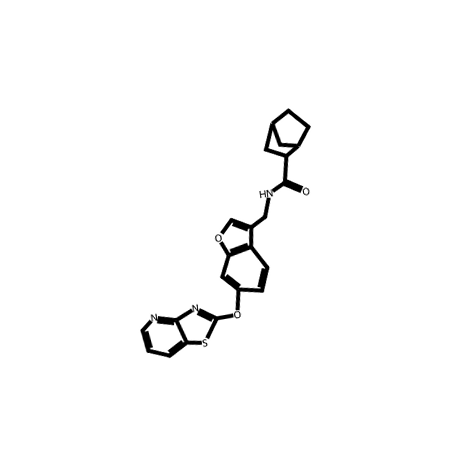 O=C(NCc1coc2cc(Oc3nc4ncccc4s3)ccc12)C1CC2CCC1C2